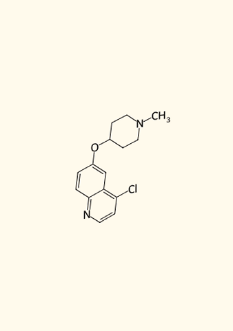 CN1CCC(Oc2ccc3nccc(Cl)c3c2)CC1